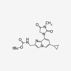 CN1C(=O)CN(c2cc(C3CC3)cn3cc(CNC(=O)OC(C)(C)C)nc23)C1=O